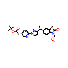 COCn1c(=O)sc2cc(C(C)c3ccn(-c4ccc(CC(=O)OC(C)(C)C)cn4)n3)ccc21